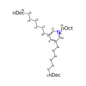 CCCCCCCCCCCCCCCCc1cc(CCCCCCCCCCCCCCCC)c[n+](CCCCCCCC)c1